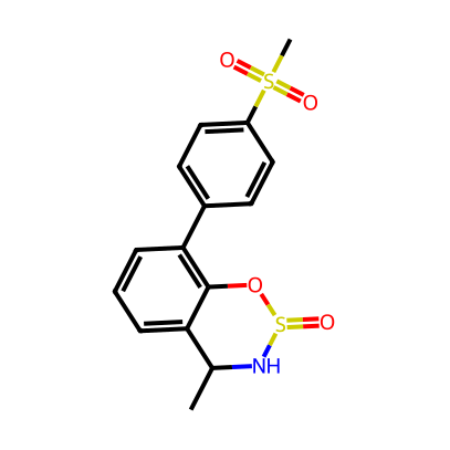 CC1NS(=O)Oc2c(-c3ccc(S(C)(=O)=O)cc3)cccc21